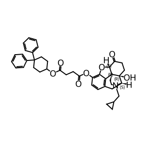 O=C(CCC(=O)OC1CCC(c2ccccc2)(c2ccccc2)CC1)Oc1ccc2c3c1O[C@@H]1C(=O)CC[C@]4(O)[C@H](C2)N(CC2CC2)CC[C@@]314